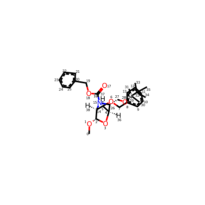 CO[C@H]1O[C@H]2[C@H](OCc3ccccc3)[C@@H]1N(C(=O)OCc1ccccc1)[C@@H]2CO[Si](C)(C)C(C)(C)C